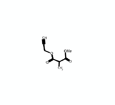 C#CCOC(=O)C(C)C(=O)OC